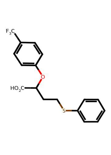 O=C(O)C(CCSc1ccccc1)Oc1ccc(C(F)(F)F)cc1